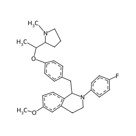 COc1ccc2c(c1)CCN(c1ccc(F)cc1)C2Cc1ccc(OC(C)C2CCCN2C)cc1